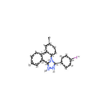 Cc1ccc2c(c1)c1ccccc1c1nnc(-c3ccc(I)cc3)n21